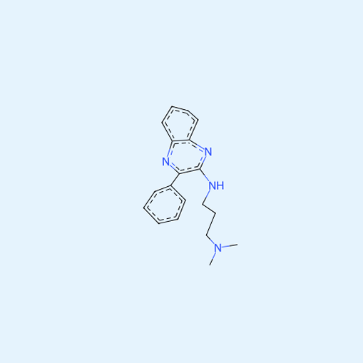 CN(C)CCCNc1nc2ccccc2nc1-c1ccccc1